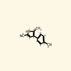 Cc1[nH]c(C#N)cc1-c1ccc(C#N)cc1